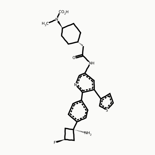 CN(C(=O)O)[C@H]1CC[C@H](CC(=O)Nc2cnc(-c3ccc([C@]4(N)C[C@H](F)C4)cc3)c(-c3ccsc3)c2)CC1